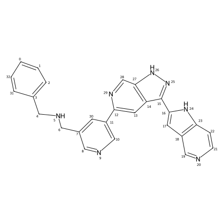 c1ccc(CNCc2cncc(-c3cc4c(-c5cc6cnccc6[nH]5)n[nH]c4cn3)c2)cc1